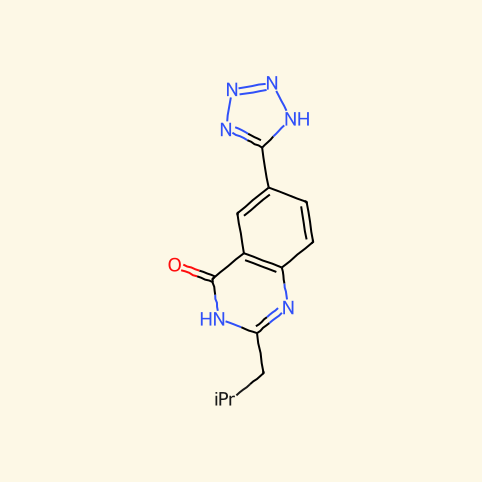 CC(C)Cc1nc2ccc(-c3nnn[nH]3)cc2c(=O)[nH]1